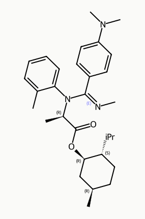 C/N=C(\c1ccc(N(C)C)cc1)N(c1ccccc1C)[C@H](C)C(=O)O[C@@H]1C[C@H](C)CC[C@H]1C(C)C